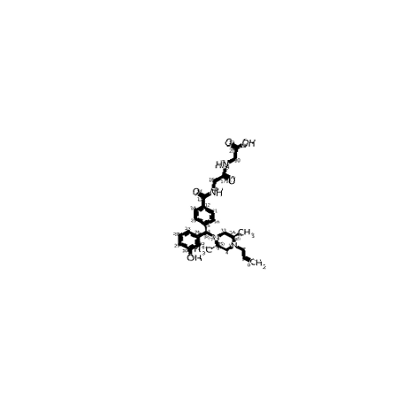 C=CCN1C[C@H](C)N([C@H](c2ccc(C(=O)NCC(=O)NCC(=O)O)cc2)c2cccc(O)c2)C[C@H]1C